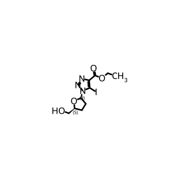 CCOC(=O)c1nnn([C@H]2CC[C@@H](CO)O2)c1I